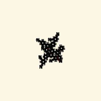 N#Cc1ccc(-c2ccc3c(c2)c2cc(-c4ccc(C#N)cc4C#N)ccc2n3-c2ccccc2-c2ccc(-c3cc(-c4ccccc4)nc(-c4ccccc4)n3)cc2-n2c3ccc(-c4ccc(C#N)cc4C#N)cc3c3cc(-c4ccc(C#N)cc4C#N)ccc32)c(C#N)c1